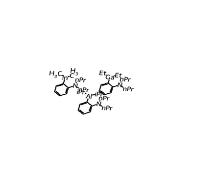 CCCN(CCC)c1cccc[c]1[Al]([CH](C)C)[CH](C)C.CCCN(CCC)c1cccc[c]1[Ga]([CH2]C)[CH2]C.CCCN(CCC)c1cccc[c]1[In]([CH3])[CH3]